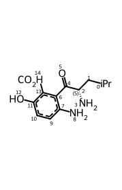 CC(C)C[C@H](N)C(=O)c1c(N)ccc(O)c1C(=O)O